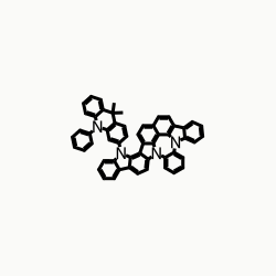 CC1(C)c2ccccc2N(c2ccccc2)c2cc(-n3c4ccccc4c4ccc5c(c6ccc7ccc8c9ccccc9n9c%10ccccc%10n5c6c7c89)c43)ccc21